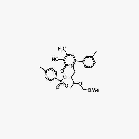 COCOC(C)C(Cn1c(-c2cccc(C)c2)cc(C(F)(F)F)c(C#N)c1=O)OS(=O)(=O)c1ccc(C)cc1